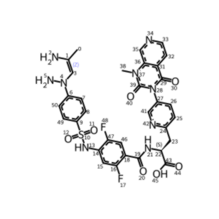 C/C(N)=C/N(N)c1ccc(S(=O)(=O)Nc2cc(F)c(C(=O)N[C@@H](Cc3ccc(-n4c(=O)c5ccncc5n(C)c4=O)cn3)C(=O)O)cc2F)cc1